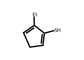 CCC1=CCC=C1S